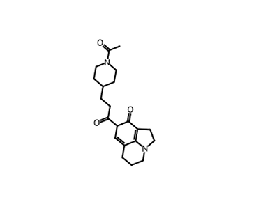 CC(=O)N1CCC(CCC(=O)C2C=C3CCCN4CCC(=C34)C2=O)CC1